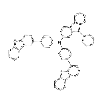 c1ccc(-n2c3ccccc3c3ccc(N(c4ccc(-c5ccc6oc7ccccc7c6c5)cc4)c4ccc(-c5cccc6c5sc5ccccc56)cc4)cc32)cc1